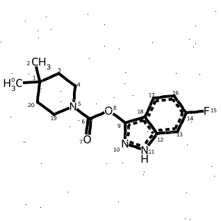 CC1(C)CCN(C(=O)Oc2n[nH]c3cc(F)ccc23)CC1